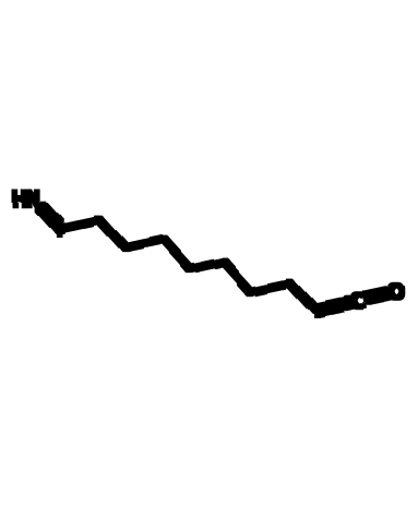 N=[C]CCCCCCC[C]=C=O